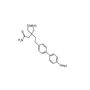 CCCCCCCc1ccc(-c2ccc(CCC(COC(C)=O)(COC(C)=O)CC(N)=O)cc2)cc1